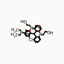 CCN(CC)c1ccc(C(c2ccccc2N(CCO)CCO)c2ccccc2N(CCO)CCO)c(C)c1